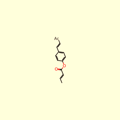 C/C=C/C(=O)Oc1ccc(/C=C/C(C)=O)cc1